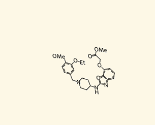 CCOc1cc(CN2CCC(Nc3nc4cccc(OCC(=O)OC)c4o3)CC2)ccc1OC